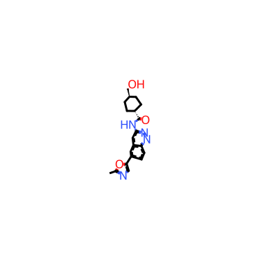 Cc1ncc(-c2ccc3nnc(NC(=O)[C@H]4CC[C@H](CO)CC4)cc3c2)o1